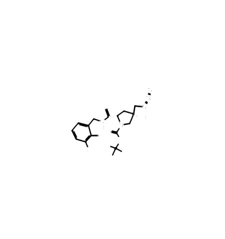 CC(C)(C)OC(=O)N1C[C@](O)(CN=[N+]=[N-])C[C@H]1C(=O)NCc1cccc(Cl)c1F